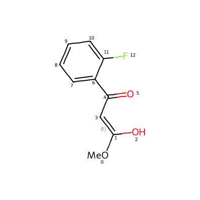 CO/C(O)=C/C(=O)c1ccccc1F